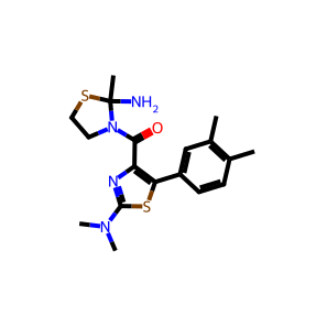 Cc1ccc(-c2sc(N(C)C)nc2C(=O)N2CCSC2(C)N)cc1C